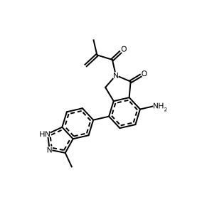 C=C(C)C(=O)N1Cc2c(-c3ccc4[nH]nc(C)c4c3)ccc(N)c2C1=O